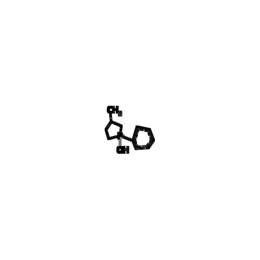 CC1CC[P](O)(c2ccccc2)C1